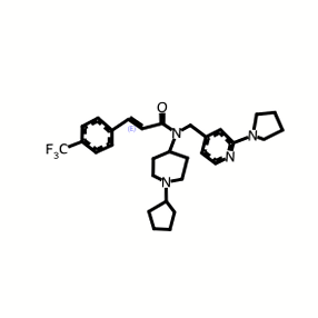 O=C(/C=C/c1ccc(C(F)(F)F)cc1)N(Cc1ccnc(N2CCCC2)c1)C1CCN(C2CCCC2)CC1